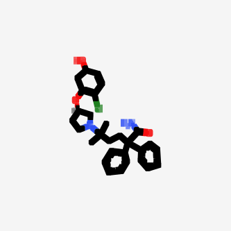 CC(C)(CCC(C(N)=O)(c1ccccc1)c1ccccc1)N1CC[C@H](OC2=C(Cl)C=CC(O)C2)C1